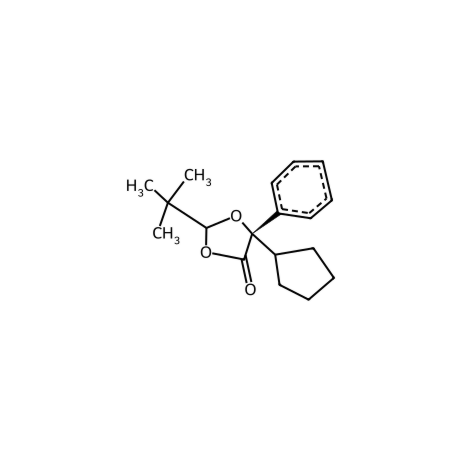 CC(C)(C)C1OC(=O)[C@@](c2ccccc2)(C2CCCC2)O1